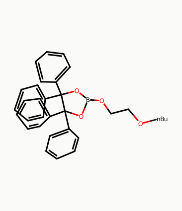 CCCCOCCOB1OC(c2ccccc2)(c2ccccc2)C(c2ccccc2)(c2ccccc2)O1